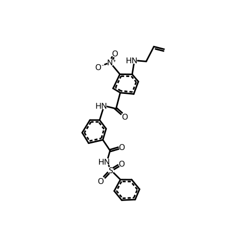 C=CCNc1ccc(C(=O)Nc2cccc(C(=O)NS(=O)(=O)c3ccccc3)c2)cc1[N+](=O)[O-]